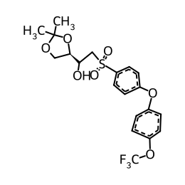 CC1(C)OC[C@H](C(O)CS(=O)(=O)c2ccc(Oc3ccc(OC(F)(F)F)cc3)cc2)O1